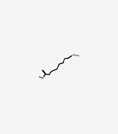 [CH2]CCCCCCCCCCCCC(=C)SC